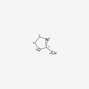 [Cu][C]1=NCCO1